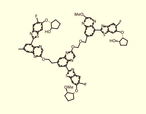 COc1cnc2c(-c3nc4cc(F)c(O[C@@H]5CCC[C@H]5O)cc4s3)cc(COCOc3cnc4c(-c5nc6cc(F)c(O[C@@H]7CCC[C@H]7OC)cc6s5)cc(CCOc5cnc6c(-c7nc8cc(F)c(O[C@@H]9CCC[C@H]9O)cc8s7)cc(C)cc6n5)cc4n3)cc2n1